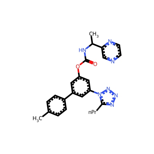 CCCc1nnnn1-c1cc(OC(=O)NC(C)c2cnccn2)cc(-c2ccc(C)cc2)c1